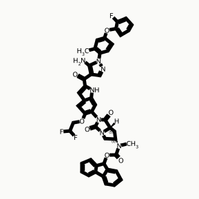 Cc1cc(Oc2ccccc2F)ccc1-n1ncc(C(=O)c2cc3cc(OCC(F)F)c(N4C(=O)[C@@H]5C[C@H](N(C)C(=O)OC6c7ccccc7-c7ccccc76)CN5C4=O)cc3[nH]2)c1N